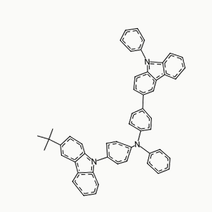 CC(C)(C)c1ccc2c(c1)c1ccccc1n2-c1ccc(N(c2ccccc2)c2ccc(-c3ccc4c(c3)c3ccccc3n4-c3ccccc3)cc2)cc1